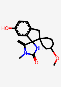 C=C1N(C)C(=O)NC12c1cc(O)ccc1CC21CCCC(OC)CC1